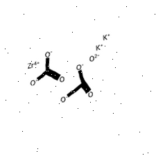 O=C([O-])[O-].O=C([O-])[O-].[K+].[K+].[O-2].[Zr+4]